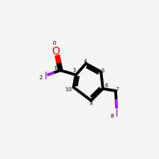 O=C(I)c1ccc(CI)cc1